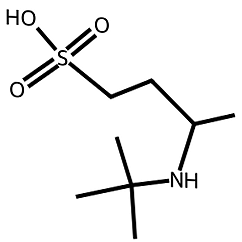 CC(CCS(=O)(=O)O)NC(C)(C)C